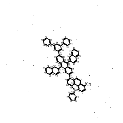 N#Cc1ccc2c3c1ccc1c(-c4ccc5c(-c6ccc7ccccc7c6)c6cc(-c7cc(-c8ccccn8)cc(-c8ccccn8)c7)ccc6c(-c6ccc7ccccc7c6)c5c4)ccc(c13)n2-c1ccccc1